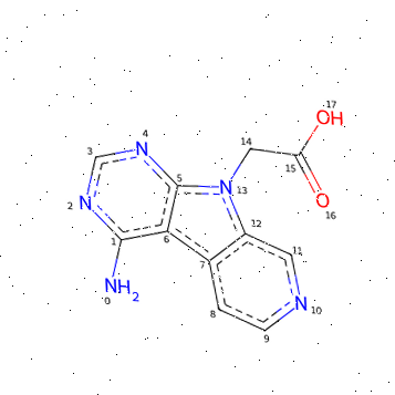 Nc1ncnc2c1c1ccncc1n2CC(=O)O